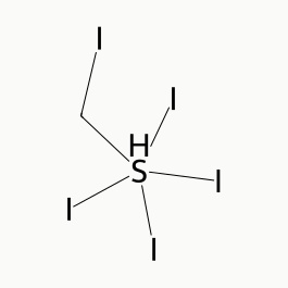 IC[SH](I)(I)(I)I